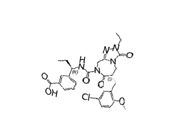 CC[C@@H](NC(=O)N1Cc2nn(CC)c(=O)n2C[C@H](Cc2cc(Cl)ccc2OC)C1=O)c1cccc(C(=O)O)c1